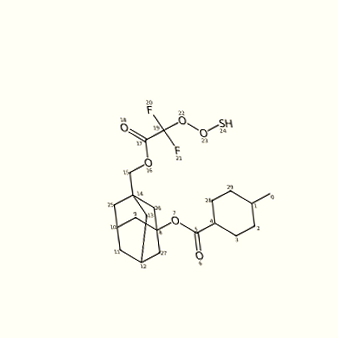 CC1CCC(C(=O)OC23CC4CC(CC(COC(=O)C(F)(F)OOS)(C4)C2)C3)CC1